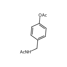 CC(=O)NCc1ccc(OC(C)=O)cc1